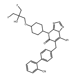 CCCc1c(Cc2ccc(-c3ccccc3C#N)cc2)c(=O)n(C2CCC(OCC(O)(CF)CF)CC2)c2ncnn12